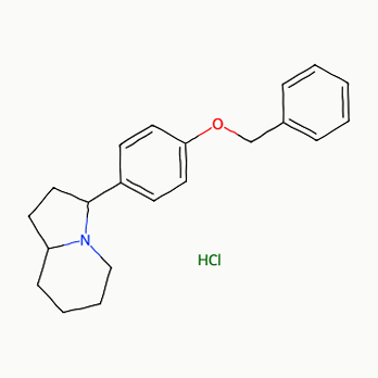 Cl.c1ccc(COc2ccc(C3CCC4CCCCN43)cc2)cc1